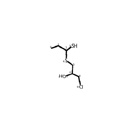 CCC(S)SCC(O)CCl